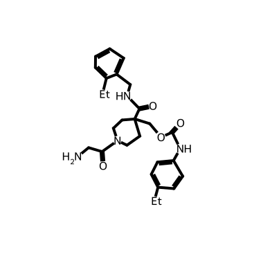 CCc1ccc(NC(=O)OCC2(C(=O)NCc3ccccc3CC)CCN(C(=O)CN)CC2)cc1